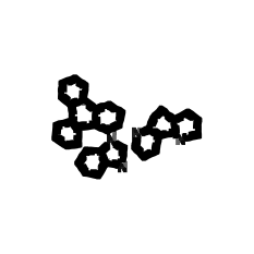 c1ccc2[nH]cnc2c1.c1ccc2c(c1)c1ccccc1c1ccccc21.c1cnc2c(c1)ccc1ncccc12